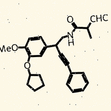 COc1ccc(C(C#Cc2ccccc2)CNC(=O)C(C)C=O)cc1OC1CCCC1